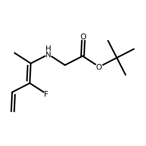 C=C/C(F)=C(\C)NCC(=O)OC(C)(C)C